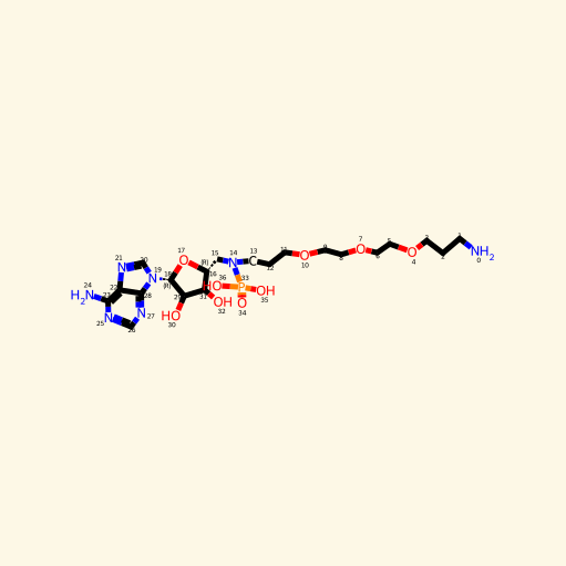 NCCCOCCOCCOCCCN(C[C@H]1O[C@@H](n2cnc3c(N)ncnc32)C(O)C1O)P(=O)(O)O